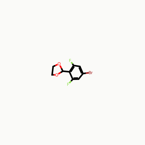 Fc1cc(Br)cc(F)c1C1OCCO1